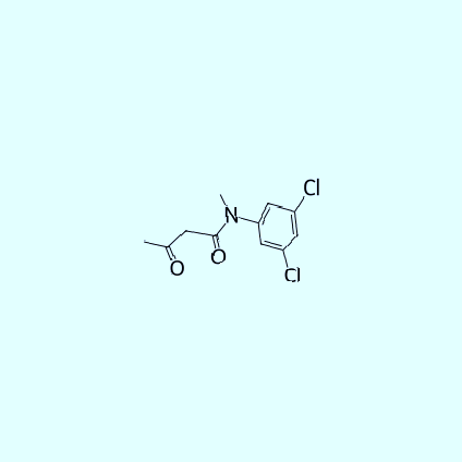 CC(=O)CC(=O)N(C)c1cc(Cl)cc(Cl)c1